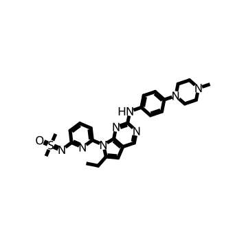 CCc1cc2cnc(Nc3ccc(N4CCN(C)CC4)cc3)nc2n1-c1cccc(N=S(C)(C)=O)n1